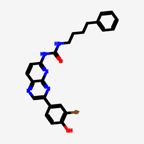 O=C(NCCCCc1ccccc1)Nc1ccc2ncc(-c3ccc(O)c(Br)c3)nc2n1